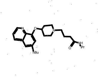 CCCCc1cc(OC2CCN(CCCC(=O)NC(C)C)CC2)c2ncccc2c1